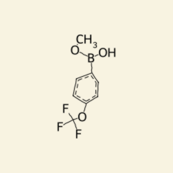 COB(O)c1ccc(OC(F)(F)F)cc1